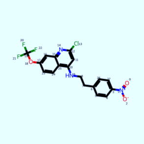 O=[N+]([O-])c1ccc(CCNc2cc(Cl)nc3cc(OC(F)(F)F)ccc23)cc1